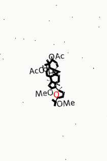 CO[C@H]1C[C@@]2(C)[C@@H]3C[C@H](OC(C)=O)[C@H]4C(C)(C)[C@@H](OC(C)=O)CC[C@@]45CC35CC[C@]2(C)[C@H]1[C@@]1(C)CC[C@@H](C(C)(C)OC)O1